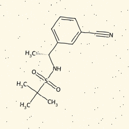 C[C@@H](NS(=O)(=O)C(C)(C)C)c1cccc(C#N)c1